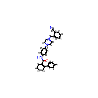 Cc1ccc(C2=C(C(=O)Nc3ccc(N4CCN(Cc5ccccc5C#N)CC4)cc3)CCCC2)cc1